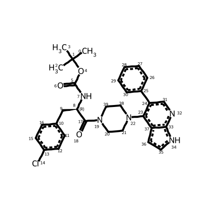 CC(C)(C)OC(=O)N[C@H](Cc1ccc(Cl)cc1)C(=O)N1CCN(c2c(-c3ccccc3)cnc3[nH]ccc23)CC1